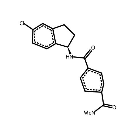 CNC(=O)c1ccc(C(=O)N[C@@H]2CCc3cc(Cl)ccc32)cc1